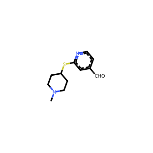 CN1CCC(Sc2cc(C=O)ccn2)CC1